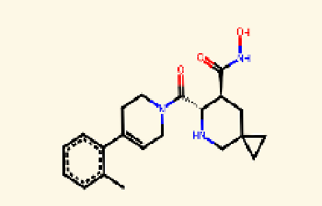 Cc1ccccc1C1=CCN(C(=O)[C@H]2NCC3(CC3)C[C@@H]2C(=O)NO)CC1